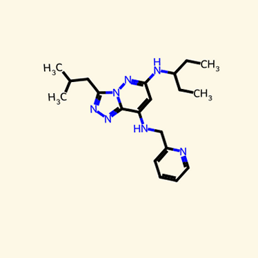 CCC(CC)Nc1cc(NCc2ccccn2)c2nnc(CC(C)C)n2n1